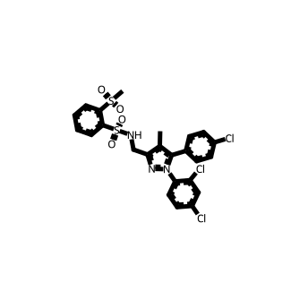 Cc1c(CNS(=O)(=O)c2ccccc2S(C)(=O)=O)nn(-c2ccc(Cl)cc2Cl)c1-c1ccc(Cl)cc1